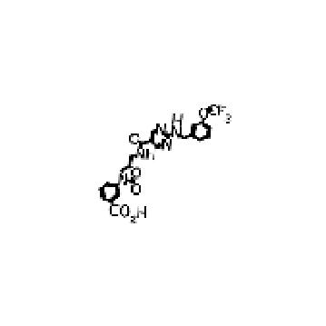 O=C(O)c1cccc(N2CC(CNC(=O)c3cnc(NCc4cccc(OC(F)(F)F)c4)nc3)OC2=O)c1